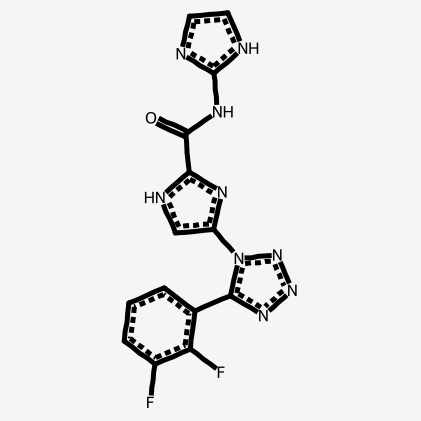 O=C(Nc1ncc[nH]1)c1nc(-n2nnnc2-c2cccc(F)c2F)c[nH]1